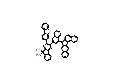 CC1(C)c2ccccc2-c2nc(-c3cc(-n4c5cc6ccccc6cc5c5c6ccccc6ccc54)c4ccccc4c3)c(-c3ccc4c(c3)sc3ccccc34)nc21